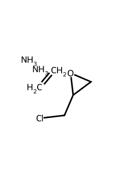 C=C.ClCC1CO1.N.N